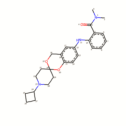 CN(C)C(=O)c1ccccc1Nc1ccc2c(c1)COC1(CCN(C3CCC3)CC1)O2